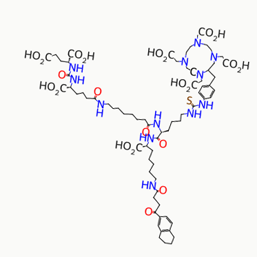 O=C(O)CC[C@H](NC(=O)N[C@@H](CCCC(=O)NCCCCCCCC(=O)N[C@@H](CCCCNC(=S)Nc1ccc(CC2CN(CC(=O)O)CCN(CC(=O)O)CCN(CC(=O)O)CCN2CC(=O)O)cc1)C(=O)N[C@@H](CCCCCNC(=O)CCC(=O)c1ccc2c(c1)CCCC2)C(=O)O)C(=O)O)C(=O)O